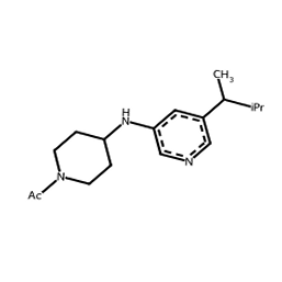 CC(=O)N1CCC(Nc2cncc(C(C)C(C)C)c2)CC1